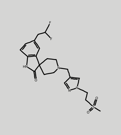 CS(=O)(=O)CCn1cc(CN2CCC3(CC2)C(=O)Nc2ccc(CC(F)F)cc23)cn1